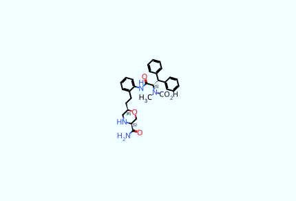 CN(C(=O)O)[C@H](C(=O)Nc1ccccc1CC[C@@H]1CN[C@H](C(N)=O)CO1)C(c1ccccc1)c1ccccc1